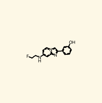 Oc1cccc(-c2cn3ccc(NCCF)cc3n2)c1